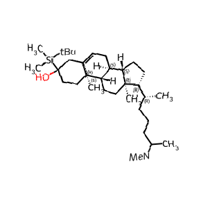 CNC(C)CCC[C@@H](C)[C@H]1CC[C@H]2[C@@H]3CC=C4CC(O)([Si](C)(C)C(C)(C)C)CC[C@]4(C)[C@H]3CC[C@]12C